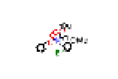 COc1ccc(Br)c(CN(C(=O)OCc2ccccc2)C(C)C(=O)OC(C)(C)C)c1